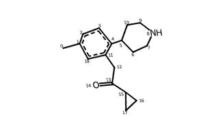 Cc1ccc(C2CCNCC2)c(CC(=O)C2CC2)c1